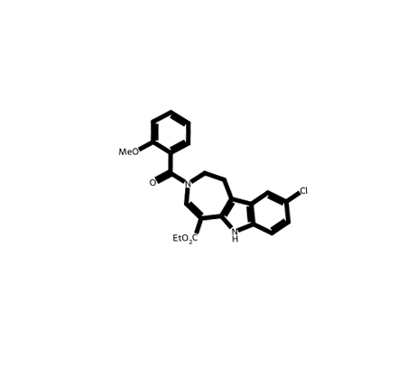 CCOC(=O)C1=CN(C(=O)c2ccccc2OC)CCc2c1[nH]c1ccc(Cl)cc21